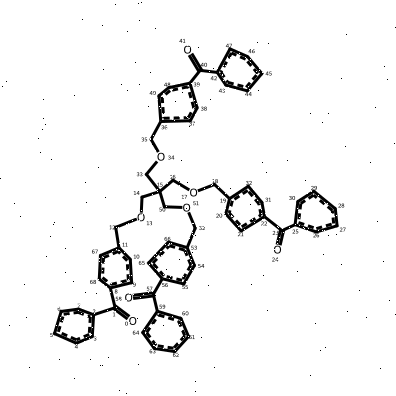 O=C(c1ccccc1)c1ccc(COCC(COCc2ccc(C(=O)c3ccccc3)cc2)(COCc2ccc(C(=O)c3ccccc3)cc2)COCc2ccc(C(=O)c3ccccc3)cc2)cc1